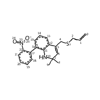 C=CCSCC1=CC(C)(C)Nc2c1cccc2-c1ccccc1[N+](=O)[O-]